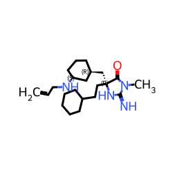 C=CCN[C@H]1CCC[C@@H](C[C@@]2(CCC3CCCCC3)NC(=N)N(C)C2=O)C1